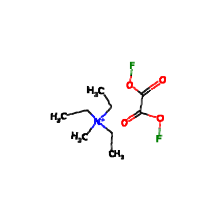 CC[N+](C)(CC)CC.O=C(OF)C(=O)OF